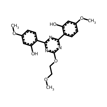 COCCOc1nc(-c2ccc(OC)cc2O)nc(-c2ccc(OC)cc2O)n1